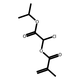 C=C(C)C(=O)OC(Cl)C(=O)OC(C)C